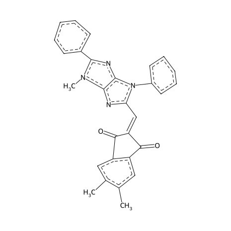 Cc1cc2c(cc1C)C(=O)C(=Cc1nc3c(nc(-c4ccccc4)n3C)n1-c1ccccc1)C2=O